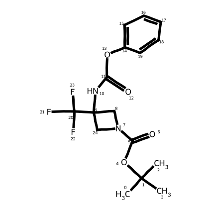 CC(C)(C)OC(=O)N1CC(NC(=O)Oc2ccccc2)(C(F)(F)F)C1